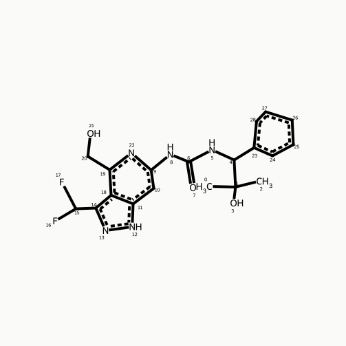 CC(C)(O)C(NC(=O)Nc1cc2[nH]nc(C(F)F)c2c(CO)n1)c1ccccc1